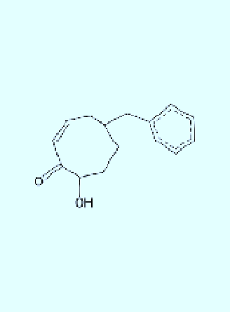 O=C1C=CCC(Cc2ccccc2)CCC1O